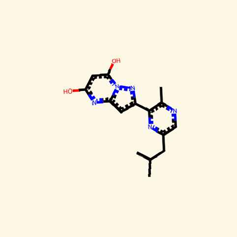 Cc1ncc(CC(C)C)nc1-c1cc2nc(O)cc(O)n2n1